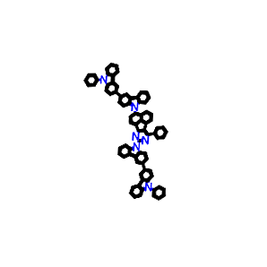 c1ccc(-c2nc(-n3c4ccccc4c4cc(-c5ccc6c(c5)c5ccccc5n6-c5ccccc5)ccc43)nc3c2-c2cccc4c(-n5c6ccccc6c6cc(-c7ccc8c(c7)c7ccccc7n8-c7ccccc7)ccc65)ccc-3c24)cc1